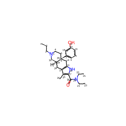 CCCN1CC[C@]2(c3cccc(O)c3)Cc3[nH]c(C(=O)N(CC)CC)c(C)c3C[C@H]2C1